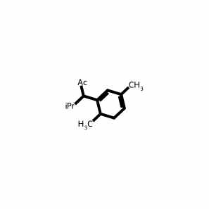 CC(=O)C(C1=CC(C)=CCC1C)C(C)C